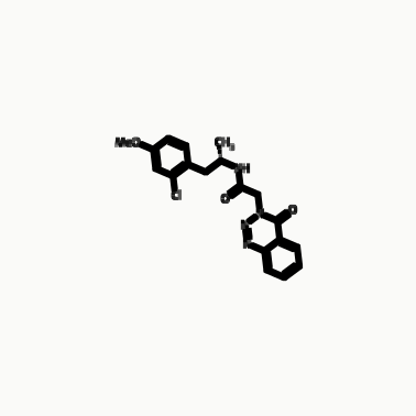 COc1ccc(C[C@H](C)NC(=O)Cn2nnc3ccccc3c2=O)c(Cl)c1